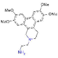 COc1cc2c3c(c4cc(OC)c(OC)cc4c2cc1OC)CN(CCN)CC3